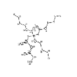 CCCCOC(=O)CC(CC(=O)OC(=O)CO)(OCCCC)C(=O)OCCCC